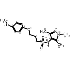 COc1ccc(OCCCS(=O)(=O)Nc2c(C)nn(C)c2C)cc1